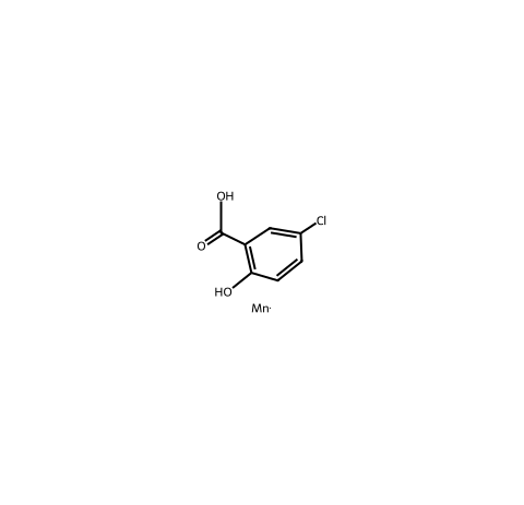 O=C(O)c1cc(Cl)ccc1O.[Mn]